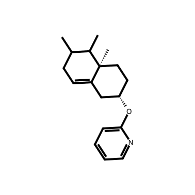 CC1CC=C2C[C@@H](Oc3ccccn3)CC[C@]2(C)C1C